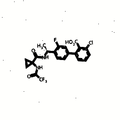 C[C@@H](NC(=O)C1(NC(=O)C(F)(F)F)CC1)c1ccc(-c2cccc(Cl)c2C(=O)O)cc1F